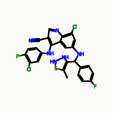 CC1=C(C(Nc2cc(Cl)c3ncc(C#N)c(Nc4ccc(F)c(Cl)c4)c3c2)c2ccc(F)cc2)NNS1